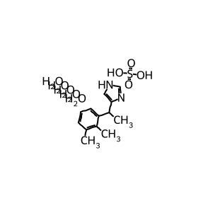 Cc1cccc(C(C)c2c[nH]cn2)c1C.O.O.O.O.O.O=S(=O)(O)O